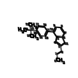 CCCC1=Cc2c(cccc2-c2ccc(C(C)(C)C)cc2)[CH]1